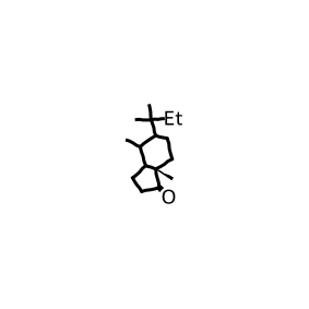 CCC(C)(C)C1CC[C@]2(C)C(=O)CCC2C1C